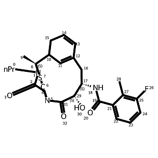 CCCN1C(=O)CN2CS[C@@]1(C)C1C=C(C=CC1)C[C@H](NC(=O)c1cccc(F)c1C)[C@H](O)C2=O